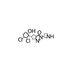 O=c1c2c(ncn1[C@H]1CCNC1)C[C@@H](c1c(O)ccc(Cl)c1Cl)C2